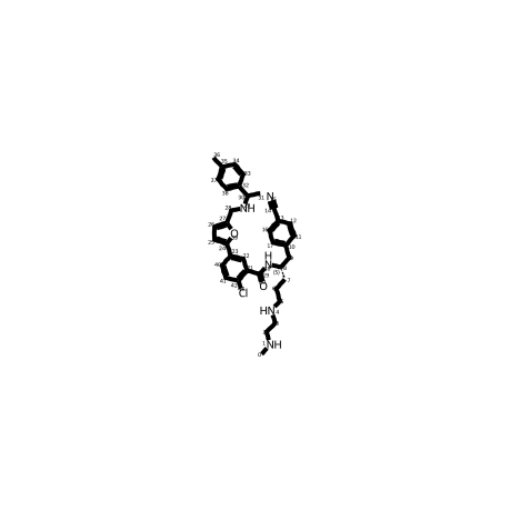 CNCCNCCC[C@@H](Cc1ccc(C#N)cc1)NC(=O)c1cc(-c2ccc(CNC(C)c3ccc(C)cc3)o2)ccc1Cl